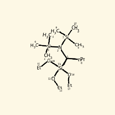 CCCC(N([Si](C)(C)C)[Si](C)(C)C)[Si](OCC)(OCC)OCC